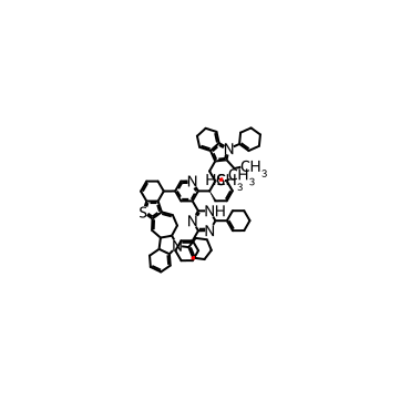 CCc1c(CC(C)[C@@H](C/C=C\C(C)S)c2ncc(C3CC=Cc4sc5c(c43)=CCC3C(C=5)C4CC=CC=C4N3C3=CCCCC3)cc2C2=NC(C3=CCCCC3)=NC(C3=CCCCC3)N2)c2c(n1C1=CCCCC1)=CCCC=2